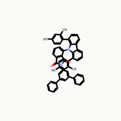 N#Cc1ccc(-c2cccc3c4cccc(-c5ccc(C#N)cc5C#N)c4n(-c4cccc5c4C(=O)N(c4cc(-c6ccccc6)cc(-c6ccccc6)c4)C5=O)c23)c(C#N)c1